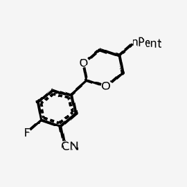 CCCCCC1COC(c2ccc(F)c(C#N)c2)OC1